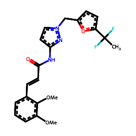 COc1cccc(C=CC(=O)Nc2ccn(Cc3ccc(C(C)(F)F)o3)n2)c1OC